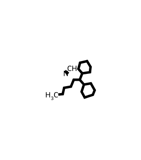 C#N.CCCCCC(C1CCCCC1)C1CCCCC1